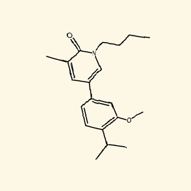 CCCCn1cc(-c2ccc(C(C)C)c(OC)c2)cc(C)c1=O